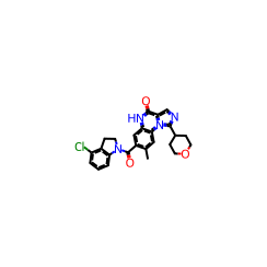 Cc1cc2c(cc1C(=O)N1CCc3c(Cl)cccc31)[nH]c(=O)c1cnc(C3CCOCC3)n12